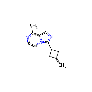 C=C1CC(c2ncc3c(C)nccn23)C1